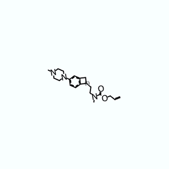 C=CCOC(=O)N(C)CC[C@@H]1Cc2cc(N3CCN(C)CC3)ccc21